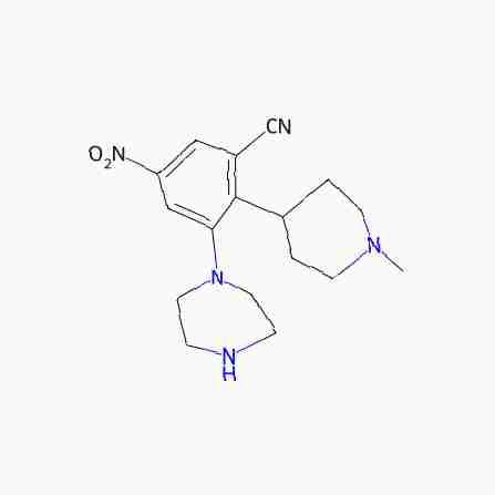 CN1CCC(c2c(C#N)cc([N+](=O)[O-])cc2N2CCNCC2)CC1